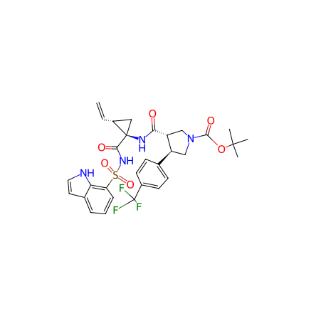 C=C[C@@H]1C[C@]1(NC(=O)[C@@H]1CN(C(=O)OC(C)(C)C)C[C@H]1c1ccc(C(F)(F)F)cc1)C(=O)NS(=O)(=O)c1cccc2cc[nH]c12